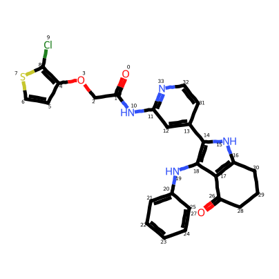 O=C(COc1ccsc1Cl)Nc1cc(-c2[nH]c3c(c2Nc2ccccc2)C(=O)CCC3)ccn1